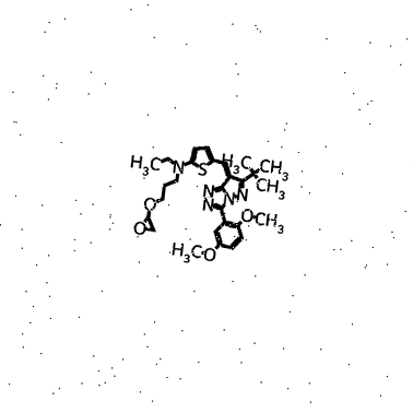 CCN(CCCOC1CO1)c1ccc(/C=c2/c(C(C)(C)C)nn3c(-c4cc(OC)ccc4OC)nnc23)s1